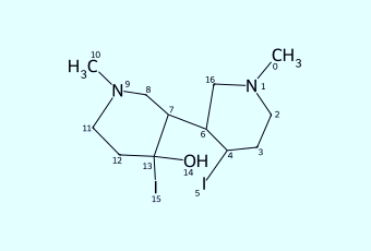 CN1CCC(I)C(C2CN(C)CCC2(O)I)C1